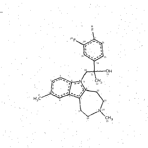 Cc1ccc2c(c1)c1c(n2CC(C)(O)c2ccc(F)c(F)c2)CCN(C)CC1